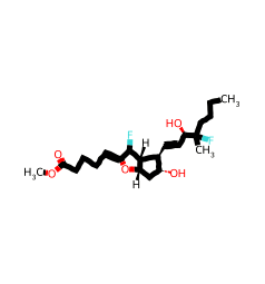 CCCCC(C)(F)[C@H](O)/C=C/[C@@H]1[C@H]2C(F)/C(=C/CCCC(=O)OC)O[C@H]2C[C@H]1O